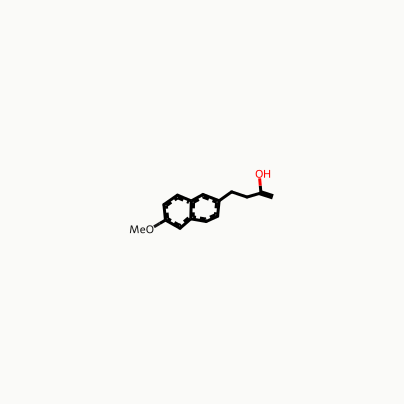 C=C(O)CCc1ccc2cc(OC)ccc2c1